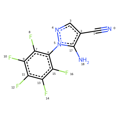 N#Cc1cnn(-c2c(F)c(F)c(F)c(F)c2F)c1N